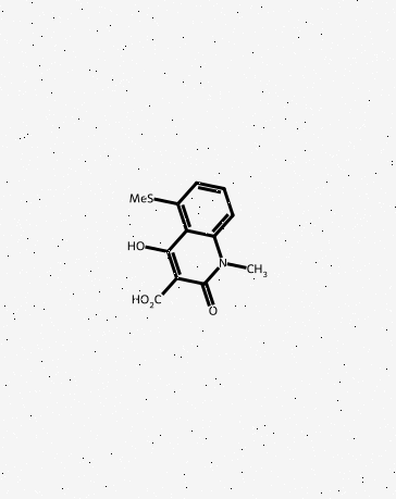 CSc1cccc2c1c(O)c(C(=O)O)c(=O)n2C